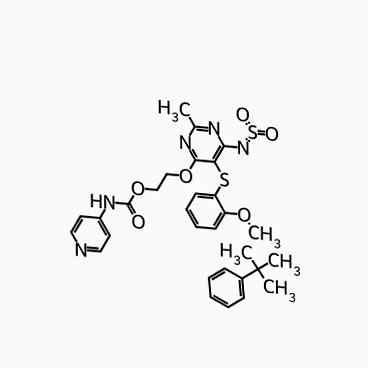 CC(C)(C)c1ccccc1.COc1ccccc1Sc1c(N=S(=O)=O)nc(C)nc1OCCOC(=O)Nc1ccncc1